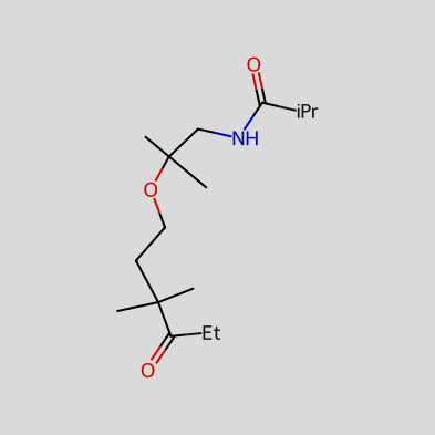 CCC(=O)C(C)(C)CCOC(C)(C)CNC(=O)C(C)C